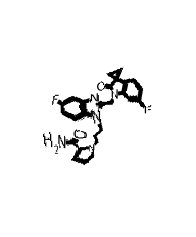 NC(=O)[C@@H]1CCCN1CCCn1c(CN2C(=O)C3(CC3)c3ccc(F)cc32)nc2cc(F)ccc21